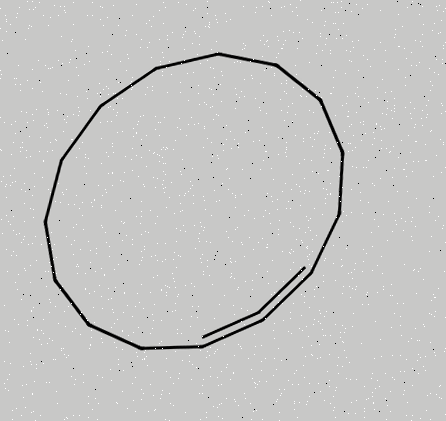 C1=CCCCCCCCCCCCCC=1